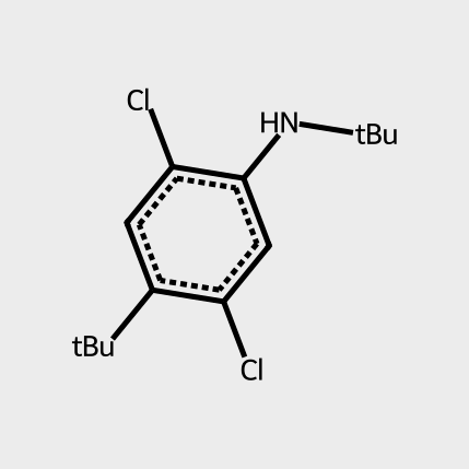 CC(C)(C)Nc1cc(Cl)c(C(C)(C)C)cc1Cl